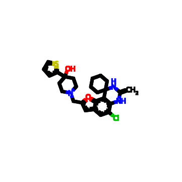 C=C1Nc2c(Cl)cc3cc(CN4CCC(O)(c5cccs5)CC4)oc3c2C2(CCCCC2)N1